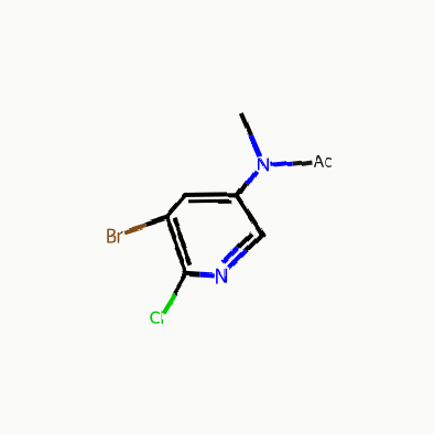 CC(=O)N(C)c1cnc(Cl)c(Br)c1